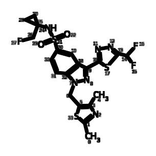 Cc1nc(C)c(Cn2nc(-c3nnc(C(F)F)s3)c3cc(S(=O)(=O)NC4(CF)CC4)ccc32)s1